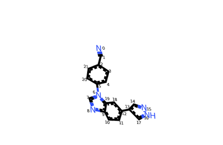 N#Cc1ccc(-n2cnc3ccc(-c4cn[nH]c4)cc32)cc1